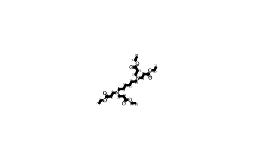 CCOC(=O)CCN(CCCCCCN(CCC(=O)OCC)CCC(=O)OCC)CCC(=O)OCC